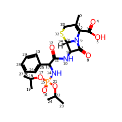 CC1=C(C(=O)O)N2C(=O)C(NC(=O)C(NP(=O)(OC(C)C)OC(C)C)c3ccccc3)[C@@H]2SC1